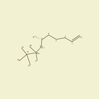 C=CCCC[C@@H](C)O[Si](C)(C)C(C)(C)C